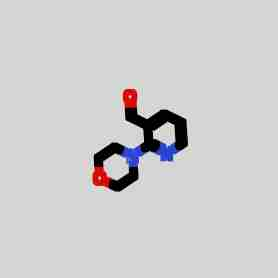 O=Cc1cccnc1N1CCOCC1